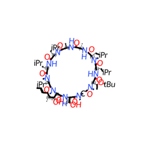 CC=CC[C@@H](C)[C@@H](O)[C@H]1C(=O)N[C@@H]([C@@H](C)O)C(=O)N(C)CC(=O)N(C)[C@@H](C(C)OC(C)(C)C)C(=O)N[C@@H](CC(C)C)C(=O)N(C)[C@@H](CC(C)C)C(=O)N[C@@H](C)C(=O)N[C@H](C)C(=O)N(C)[C@@H](CC(C)C)C(=O)N[C@@H](CC(C)C)C(=O)N(C)[C@@H](C(C)C)C(=O)N1C